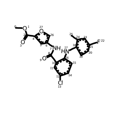 COC(=O)c1cc(NC(=O)c2cc(Cl)ccc2Nc2ccc(F)cc2C)co1